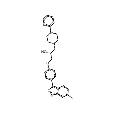 O[C@@H](COc1ccc(-c2onc3cc(F)ccc23)cc1)CN1CCN(c2ccccn2)CC1